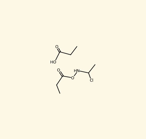 CCC(=O)O.CCC(=O)ONC(C)Cl